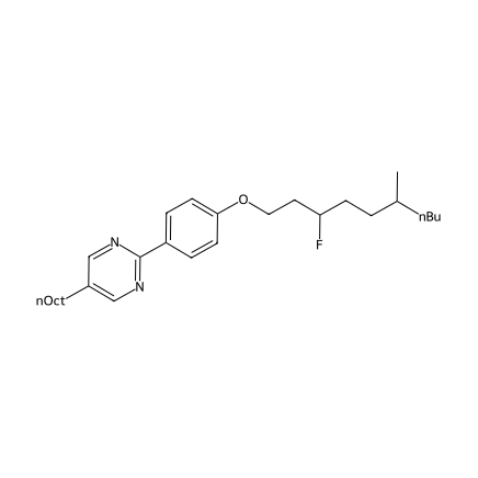 CCCCCCCCc1cnc(-c2ccc(OCCC(F)CCC(C)CCCC)cc2)nc1